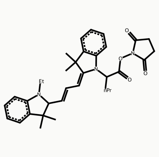 CCCC(C(=O)ON1C(=O)CCC1=O)N1/C(=C/C=C/C2N(CC)c3ccccc3C2(C)C)C(C)(C)c2ccccc21